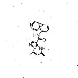 C=C1C=C(C)n2ncc(C(=O)NC3=CC=CC4C5C=NC=CC345)c2N1